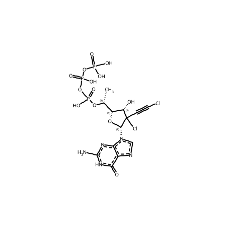 C[C@@H](OP(=O)(O)OP(=O)(O)OP(=O)(O)O)[C@H]1O[C@@H](n2cnc3c(=O)[nH]c(N)nc32)C(Cl)(C#CCl)[C@H]1O